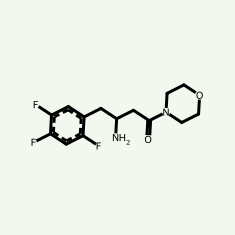 NC(CC(=O)N1CCOCC1)Cc1cc(F)c(F)cc1F